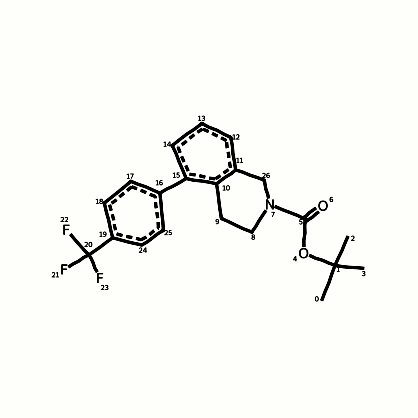 CC(C)(C)OC(=O)N1CCc2c(cccc2-c2ccc(C(F)(F)F)cc2)C1